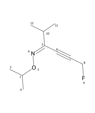 CC(C)O/N=C(\C#CCF)C(C)C